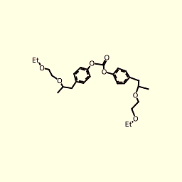 CCOCCOC(C)Cc1ccc(OC(=O)Oc2ccc(CC(C)OCCOCC)cc2)cc1